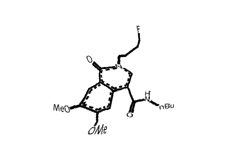 CCCCNC(=O)c1cn(CCF)c(=O)c2cc(OC)c(OC)cc12